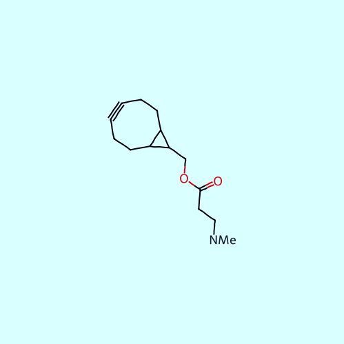 CNCCC(=O)OCC1C2CCC#CCCC21